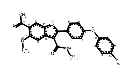 CNC(=O)c1c(-c2ccc(Oc3ccc(F)cc3)cc2)oc2cc(C(C)=O)c(OC)cc12